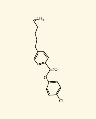 C=CCCCCc1ccc(C(=O)Oc2ccc(Cl)cc2)cc1